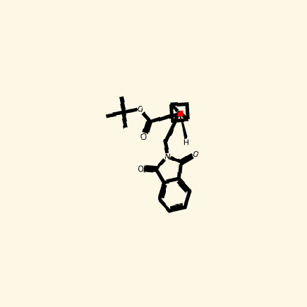 CC(C)(C)OC(=O)N1C2CC(C2)[C@H]1CN1C(=O)c2ccccc2C1=O